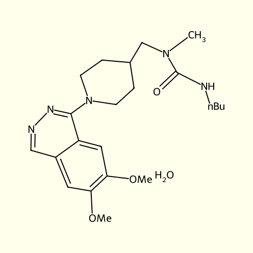 CCCCNC(=O)N(C)CC1CCN(c2nncc3cc(OC)c(OC)cc23)CC1.O